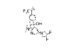 CN1CC(C)(C(O)(c2ccc(C3(C(F)(F)F)CC3)cc2)c2cncc(N3C[C@@H](F)[C@@H](F)C3)c2)C1